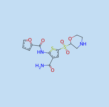 NC(=O)c1cc(S(=O)(=O)C2CNCCO2)sc1NC(=O)c1ccco1